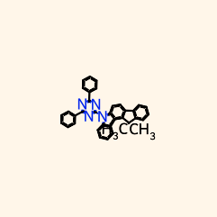 CC1(C)c2ccccc2-c2ccc3c(c21)c1ccccc1n3-c1nc(-c2ccccc2)nc(-c2ccccc2)n1